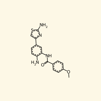 COc1ccc(C(=O)Nc2cc(-c3csc(N)n3)ccc2N)cc1